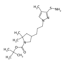 Cc1cn(CCCC2CN(C(=O)OC(C)(C)C)C(C)(C)C2)nc1SN